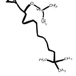 C[SiH](C)OC(CCCCCCC(C)(C)C)C1=CC1